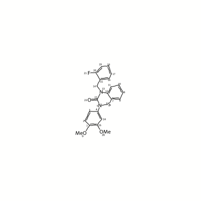 COc1ccc(N2Sc3ccccc3N(Cc3ccccc3F)C2=O)cc1OC